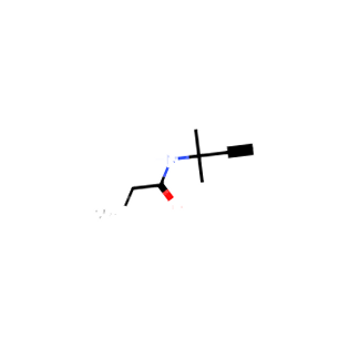 C#CC(C)(C)NC(=O)CSC